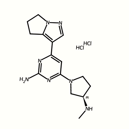 CN[C@@H]1CCN(c2cc(-c3cnn4c3CCC4)nc(N)n2)C1.Cl.Cl